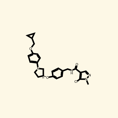 Cn1ncc(C(=O)NCc2ccc(O[C@@H]3CCN(c4ccc(OCC5CC5)cc4)C3)cc2)c1Cl